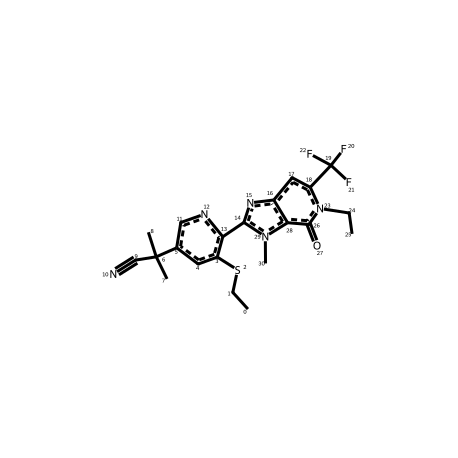 CCSc1cc(C(C)(C)C#N)cnc1-c1nc2cc(C(F)(F)F)n(CC)c(=O)c2n1C